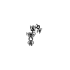 Cc1ccc(C(F)(F)F)cc1Nc1nc(C(=O)NS(=O)(=O)N2CCC(S(=O)(=O)N(C)C)CC2)co1